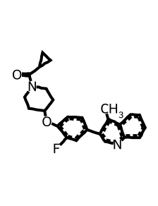 Cc1c(-c2ccc(OC3CCN(C(=O)C4CC4)CC3)c(F)c2)cnc2ccccc12